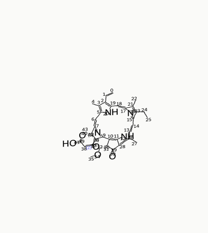 C=Cc1c(C)c2cc3nc(c4c5[nH]c(cc6nc(cc1[nH]2)C(C)=C6CC)c(C)c5C(=O)[C@@H]4C(=O)OC)[C@@H](/C=C\C(=O)O)[C@@H]3C